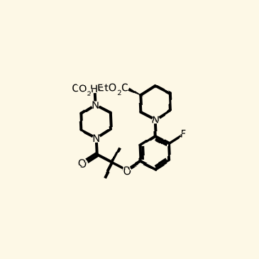 CCOC(=O)[C@H]1CCCN(c2cc(OC(C)(C)C(=O)N3CCN(C(=O)O)CC3)ccc2F)C1